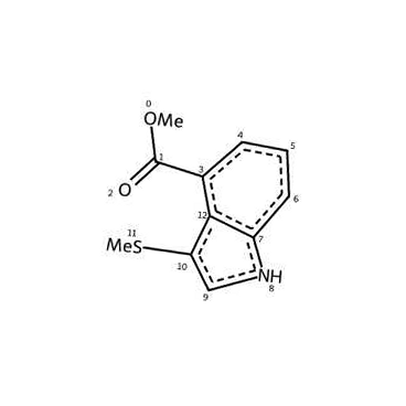 COC(=O)c1cccc2[nH]cc(SC)c12